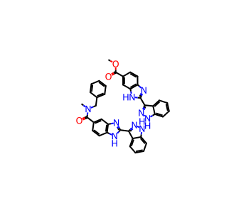 CN(Cc1ccccc1)C(=O)c1ccc2[nH]c(-c3n[nH]c4ccccc34)nc2c1.COC(=O)c1ccc2nc(-c3n[nH]c4ccccc34)[nH]c2c1